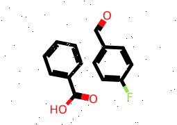 O=C(O)c1ccccc1.O=Cc1ccc(F)cc1